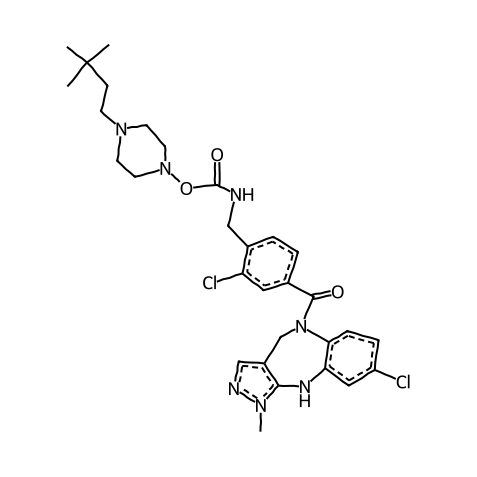 Cn1ncc2c1Nc1cc(Cl)ccc1N(C(=O)c1ccc(CNC(=O)ON3CCN(CCC(C)(C)C)CC3)c(Cl)c1)C2